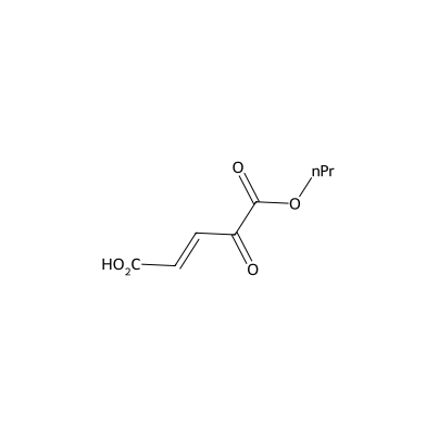 CCCOC(=O)C(=O)C=CC(=O)O